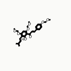 COCOc1ccc(C=CC(=O)c2c(OCOC)cc(OCOC)c(CC=C(C)C)c2O)cc1